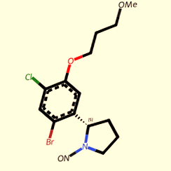 COCCCOc1cc([C@@H]2CCCN2N=O)c(Br)cc1Cl